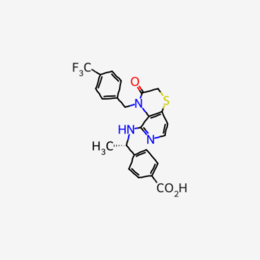 C[C@H](Nc1nccc2c1N(Cc1ccc(C(F)(F)F)cc1)C(=O)CS2)c1ccc(C(=O)O)cc1